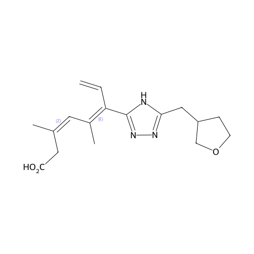 C=C/C(=C(C)\C=C(\C)CC(=O)O)c1nnc(CC2CCOC2)[nH]1